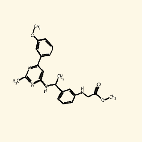 COC(=O)CNc1cccc(C(C)Nc2cc(-c3cccc(OC)c3)nc(C)n2)c1